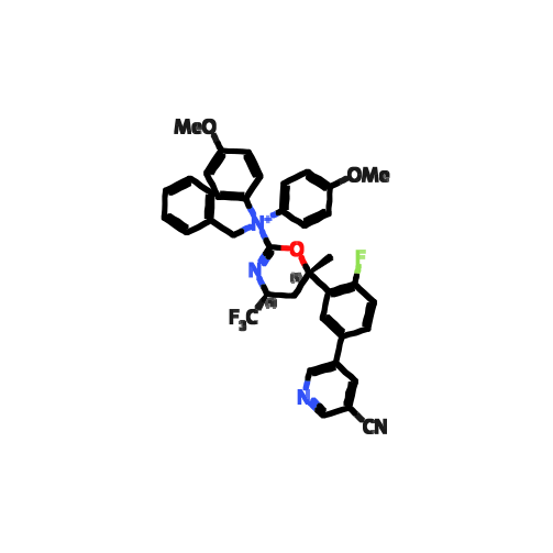 COc1ccc([N+](Cc2ccccc2)(C2=N[C@H](C(F)(F)F)C[C@@](C)(c3cc(-c4cncc(C#N)c4)ccc3F)O2)c2ccc(OC)cc2)cc1